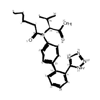 CCCCC(=O)N(c1ccc(-c2ccccc2-c2nnn[nH]2)cc1)[C@H](C(=O)O)C(C)C